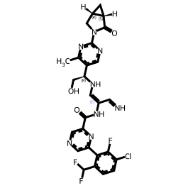 Cc1nc(N2C[C@@H]3C[C@@H]3C2=O)ncc1[C@H](CO)N/C=C(\C=N)NC(=O)c1cncc(-c2c(C(F)F)ccc(Cl)c2F)n1